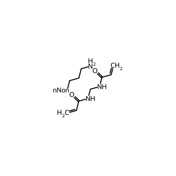 C=CC(=O)NCNC(=O)C=C.CCCCCCCCCCCCN